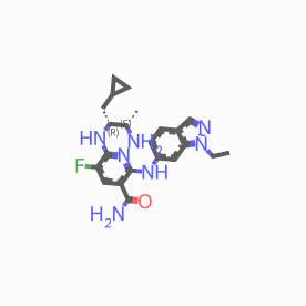 CCn1ncc2ccc(Nc3nc(N[C@H](CC4CC4)[C@H](C)N)c(F)cc3C(N)=O)cc21